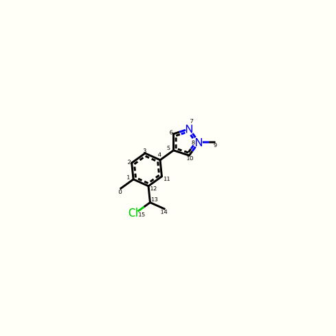 Cc1ccc(-c2cnn(C)c2)cc1C(C)Cl